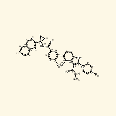 CNC(=O)c1c(-c2ccc(F)cc2)oc2ccc(-c3cc(C(=O)NC4(c5ncc6cnccc6n5)CC4)ccc3C)c(F)c12